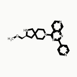 COC[C@@H]1CC2(CCN(c3nc(-c4ccncc4)nc4cnccc34)CC2)CN1